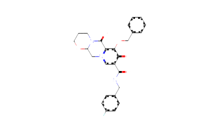 O=C(NCc1ccc(F)cc1)c1cn2c(c(OCc3ccccc3)c1=O)C(=O)N1CCCOC1C2